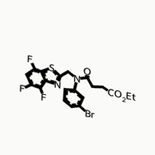 CCOC(=O)CCC(=O)N(Cc1nc2c(F)c(F)cc(F)c2s1)c1cccc(Br)c1